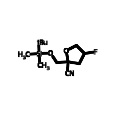 CC(C)(C)[Si](C)(C)OCC1(C#N)CC(F)CO1